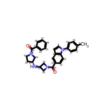 Cc1ccc(-n2ccc3cc(C(=O)N4CC(N[C@H]5CCN(C(=O)c6ccccc6)C5)C4)ccc32)cc1